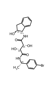 C[C@H](NC(=O)[C@H](O)[C@@H](O)C(=O)N[C@H]1c2ccccc2C[C@@H]1O)c1ccc(Br)cc1